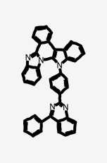 c1ccc(-c2nc(-c3ccc(-n4c5ccccc5c5c6ccccc6c6nc7ccccc7n6c54)cc3)nc3ccccc23)cc1